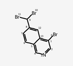 Brc1cncc2ccc(C(Br)Br)cc12